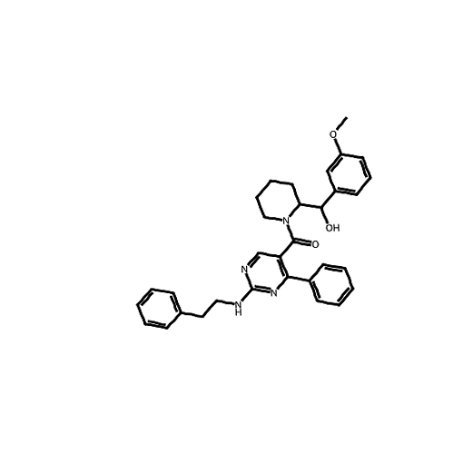 COc1cccc(C(O)C2CCCCN2C(=O)c2cnc(NCCc3ccccc3)nc2-c2ccccc2)c1